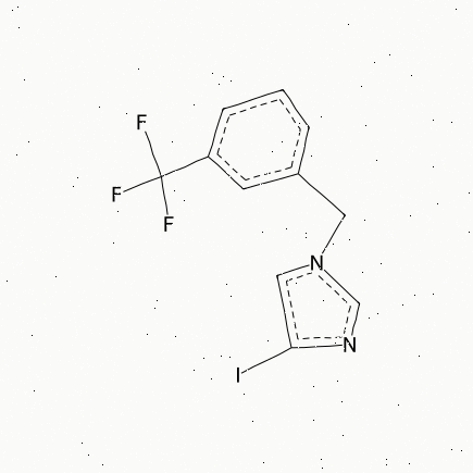 FC(F)(F)c1cccc(Cn2cnc(I)c2)c1